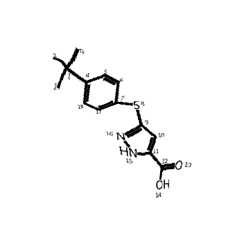 CC(C)(C)c1ccc(Sc2cc(C(=O)O)[nH]n2)cc1